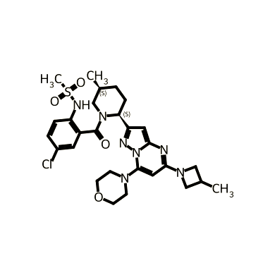 CC1CN(c2cc(N3CCOCC3)n3nc([C@@H]4CC[C@H](C)CN4C(=O)c4cc(Cl)ccc4NS(C)(=O)=O)cc3n2)C1